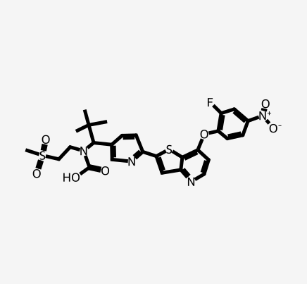 CC(C)(C)C(c1ccc(-c2cc3nccc(Oc4ccc([N+](=O)[O-])cc4F)c3s2)nc1)N(CCS(C)(=O)=O)C(=O)O